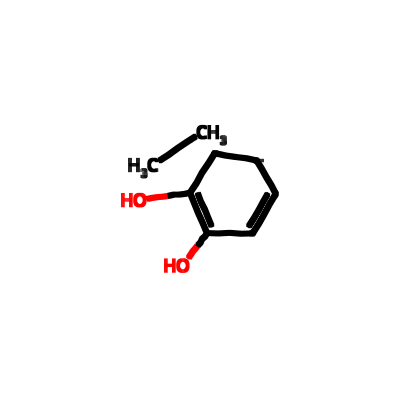 CC.OC1=C(O)C[CH]C=C1